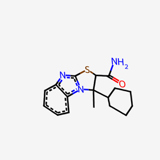 CC1(C2CCCCC2)C(C(N)=O)Sc2nc3ccccc3n21